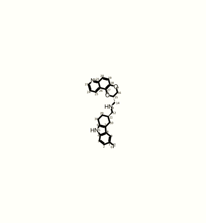 Fc1ccc2[nH]c3c(c2c1)C[C@H](CNC[C@H]1COc2ccc4ncccc4c2O1)CC3